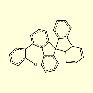 Clc1ccccc1-c1cccc2c1-c1ccccc1C21c2ccccc2C2C=CC=CC21